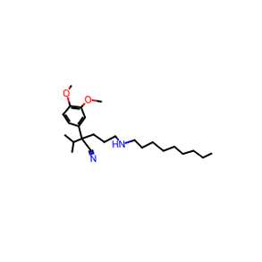 CCCCCCCCCNCCCC(C#N)(c1ccc(OC)c(OC)c1)C(C)C